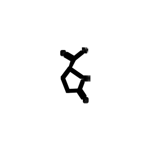 [N]C(=O)[C@@H]1CCC(=O)N1